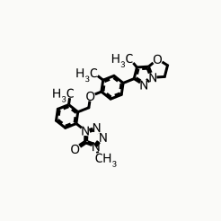 Cc1cc(-c2nn3c(c2C)OCC3)ccc1OCc1c(C)cccc1-n1nnn(C)c1=O